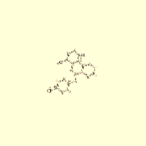 O=c1cc[nH]c2c1cc(Cc1ccc(Cl)nc1)c1ccccc12